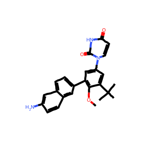 COc1c(-c2ccc3cc(N)ccc3c2)cc(-n2ccc(=O)[nH]c2=O)cc1C(C)(C)C